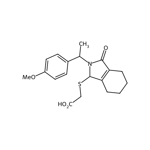 COc1ccc(C(C)N2C(=O)C3=C(CCCC3)C2SCC(=O)O)cc1